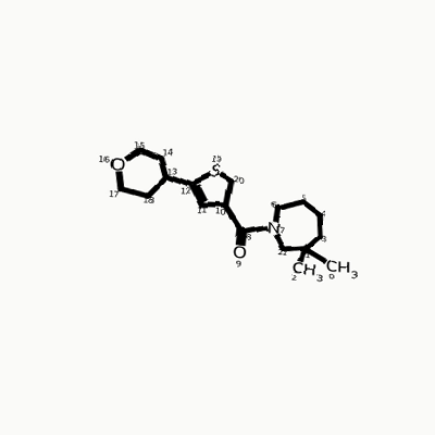 CC1(C)CCCCN(C(=O)C2C=C(C3CCOCC3)SC2)C1